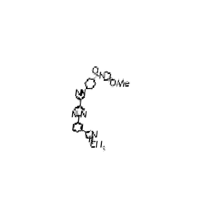 CO[C@H]1CCN(C(=O)[C@H]2CC[C@H](n3cc(-c4cnc(-c5cccc(-c6cnn(C)c6)c5)nc4)cn3)CC2)C1